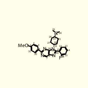 COc1ccc(-c2ncc3nc(-c4ccccc4F)n([C@H]4CC[C@H](N(C)C)CC4)c3n2)cc1